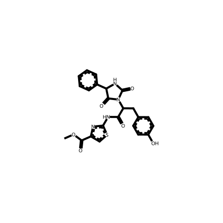 COC(=O)c1csc(NC(=O)C(Cc2ccc(O)cc2)N2C(=O)NC(c3ccccc3)C2=O)n1